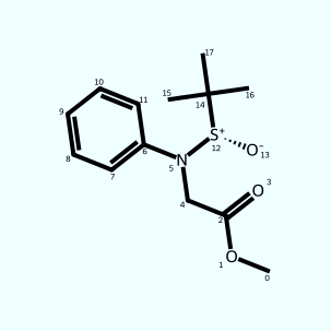 COC(=O)CN(c1ccccc1)[S@@+]([O-])C(C)(C)C